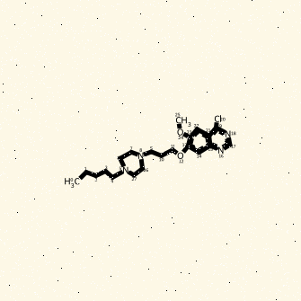 CCCCCN1CCN(CCCOc2cc3ncnc(Cl)c3cc2OC)CC1